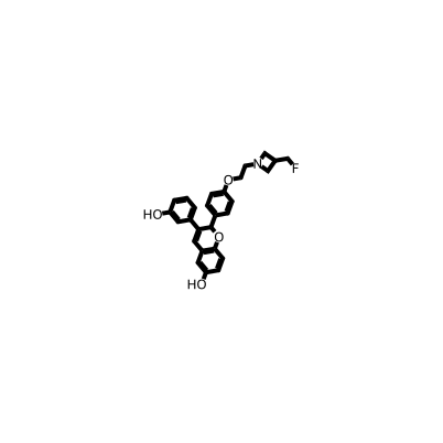 Oc1cccc(C2=Cc3cc(O)ccc3OC2c2ccc(OCCN3CC(CF)C3)cc2)c1